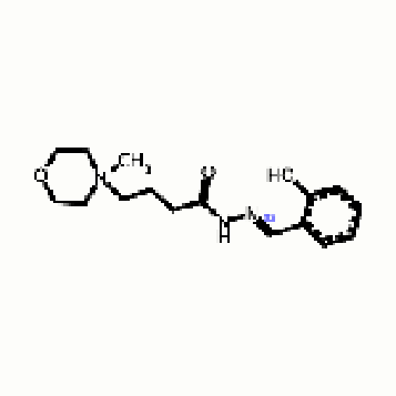 C[N+]1(CCCC(=O)N/N=C/c2ccccc2O)CCOCC1